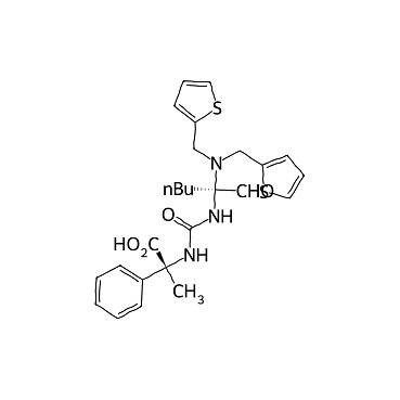 CCCC[C@](C=O)(NC(=O)N[C@@](C)(C(=O)O)c1ccccc1)N(Cc1cccs1)Cc1cccs1